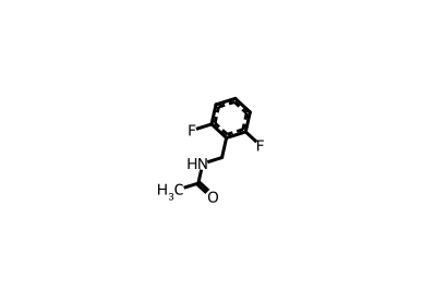 CC(=O)NCc1c(F)cccc1F